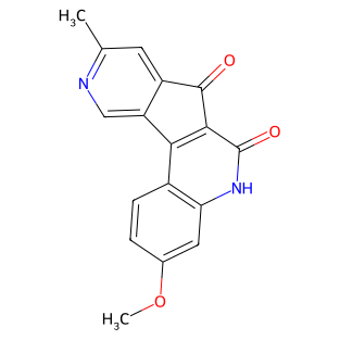 COc1ccc2c3c(c(=O)[nH]c2c1)C(=O)c1cc(C)ncc1-3